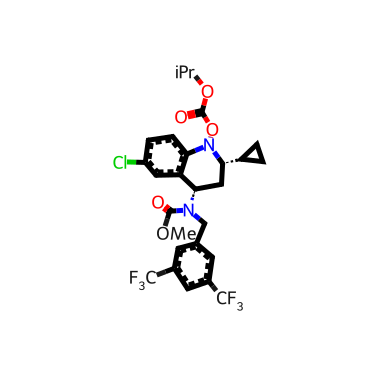 COC(=O)N(Cc1cc(C(F)(F)F)cc(C(F)(F)F)c1)[C@H]1C[C@@H](C2CC2)N(OC(=O)OC(C)C)c2ccc(Cl)cc21